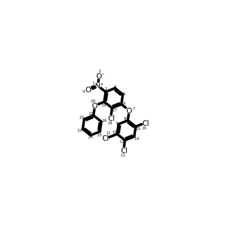 O=[N+]([O-])c1ccc(Oc2cc(Cl)c(Cl)cc2Cl)c(Cl)c1Oc1ccccc1